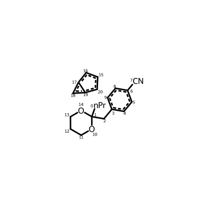 CCCC1(Cc2ccc(C#N)cc2)OCCCO1.c1cc2cc-2c1